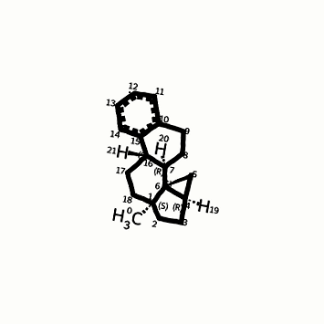 C[C@@]12CC[C@@H]3C[C@@]31[C@@H]1CCc3c[c]ccc3[C@H]1CC2